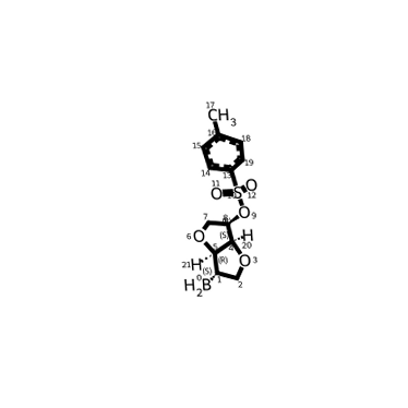 B[C@H]1CO[C@H]2[C@@H]1OC[C@H]2OS(=O)(=O)c1ccc(C)cc1